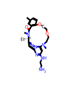 CC[C@H]1c2cc3nc(NCCN)cc(n3n2)N(C)CCOCCOc2ccc(C)cc2C(=O)N1C